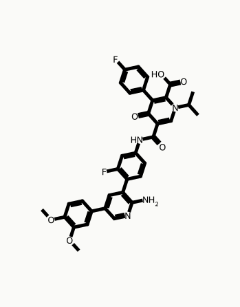 COc1ccc(-c2cnc(N)c(-c3ccc(NC(=O)c4cn(C(C)C)c(C(=O)O)c(-c5ccc(F)cc5)c4=O)cc3F)c2)cc1OC